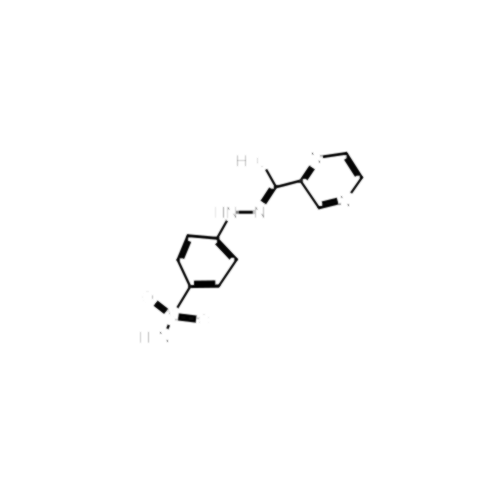 C/C(=N\Nc1ccc(S(N)(=O)=O)cc1)c1cnccn1